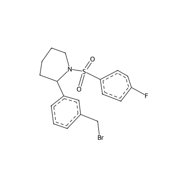 O=S(=O)(c1ccc(F)cc1)N1CCCCC1c1cccc(CBr)c1